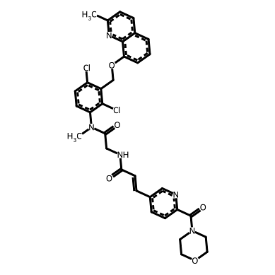 Cc1ccc2cccc(OCc3c(Cl)ccc(N(C)C(=O)CNC(=O)C=Cc4ccc(C(=O)N5CCOCC5)nc4)c3Cl)c2n1